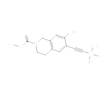 CC(C)[Si](C#Cc1cc2c(cc1C=O)CN(C(=O)OC(C)(C)C)CC2)(C(C)C)C(C)C